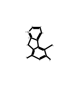 Cc1cc(C)c2c(c1C)-c1cccnc1C2